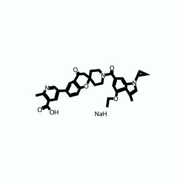 CCOc1cc(C(=O)N2CCC3(CC2)CC(=O)c2cc(-c4cnc(C)c(C(=O)O)c4)ccc2O3)cc2c1c(C)cn2C1CC1.[NaH]